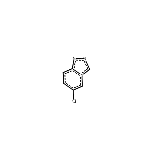 Clc1ccc2nncn2c1